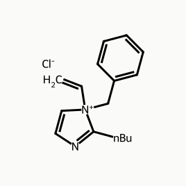 C=C[N+]1(Cc2ccccc2)C=CN=C1CCCC.[Cl-]